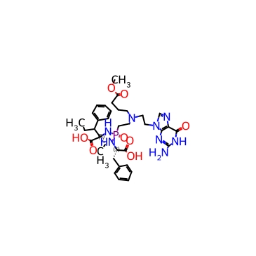 CCC(c1ccccc1)[C@@](CC)(NP(=O)(CCN(CCCC(=O)OC)CCn1cnc2c(=O)[nH]c(N)nc21)N[C@@H](Cc1ccccc1)C(=O)O)C(=O)O